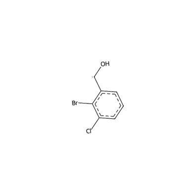 O[CH]c1cccc(Cl)c1Br